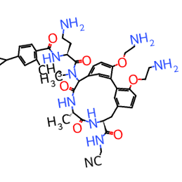 Cc1cc(C2CC2)ccc1C(=O)N[C@@H](CCN)C(=O)N(C)[C@@H]1C(=O)N[C@@H](C)C(=O)N[C@H](C(=O)NCC#N)Cc2ccc(OCCN)c(c2)-c2cc1ccc2OCCN